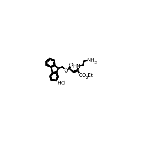 CCOC(=O)C(=CC(=O)OCC1c2ccccc2-c2ccccc21)NCCN.Cl